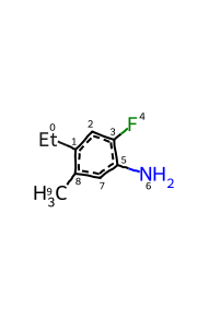 CCc1cc(F)c(N)cc1C